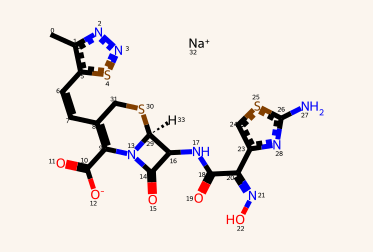 Cc1nnsc1/C=C\C1=C(C(=O)[O-])N2C(=O)C(NC(=O)/C(=N\O)c3csc(N)n3)[C@@H]2SC1.[Na+]